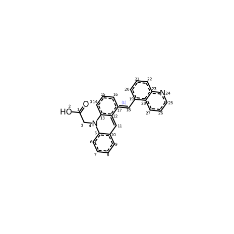 O=C(O)CN1c2ccccc2C=c2c1ccc/c2=C\c1cccc2ncccc12